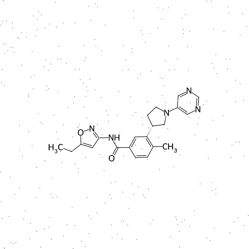 CCc1cc(NC(=O)c2ccc(C)c([C@@H]3CCN(c4cncnc4)C3)c2)no1